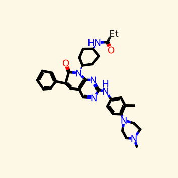 CCC(=O)N[C@H]1CC[C@H](n2c(=O)c(-c3ccccc3)cc3cnc(Nc4ccc(N5CCN(C)CC5)c(C)c4)nc32)CC1